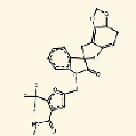 CNC(=O)c1cc(CN2C(=O)C3(CC4=C5OCOC5CC=C4O3)c3ccccc32)oc1C(F)(F)F